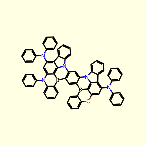 c1ccc(N2c3ccccc3B3c4cc5c(cc4-n4c6ccccc6c6c(N(c7ccccc7)c7ccccc7)cc2c3c64)-n2c3ccccc3c3c(N(c4ccccc4)c4ccccc4)cc4c(c32)B5c2ccccc2O4)cc1